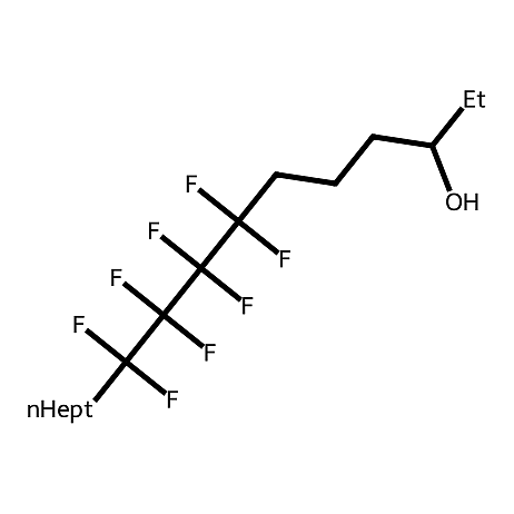 CCCCCCCC(F)(F)C(F)(F)C(F)(F)C(F)(F)CCCC(O)CC